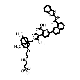 Cc1c(-c2ccc(-c3ccc4cncc(C(=O)Nc5nc6ccccc6s5)c4c3)nc2C(=O)O)cnn1CC12CC3(C)CC(C)(C1)CC(OCCNCCS(=O)(=O)O)(C3)C2